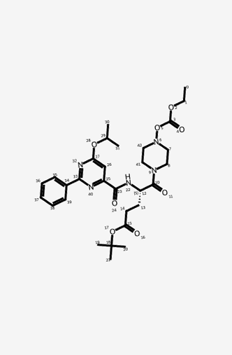 CCOC(=O)ON1CCN(C(=O)[C@H](CCC(=O)OC(C)(C)C)NC(=O)c2cc(OC(C)C)nc(-c3ccccc3)n2)CC1